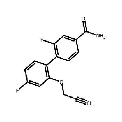 C#CCOc1cc(F)ccc1-c1ccc(C(N)=O)cc1F